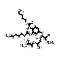 CCCCCOC(=O)Oc1ccc(C[C@H](NCC(C)OC(=O)C(C)C)C(=O)OC)cc1OC(=O)OCCCCC